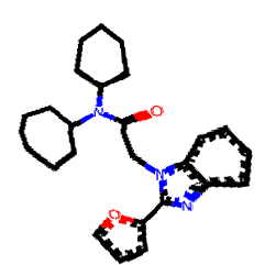 O=C(Cn1c(-c2ccco2)nc2ccccc21)N(C1CCCCC1)C1CCCCC1